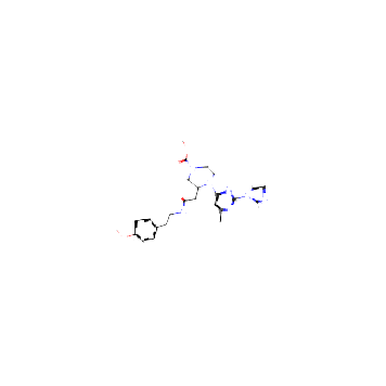 COC(=O)N1CCN(c2cc(C)nc(-n3ccnc3)n2)C(CC(=O)NCCc2ccc(OC)cc2)C1